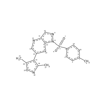 Cc1ccc(S(=O)(=O)n2ncc3ncc(-c4c(C)noc4C)cc32)cc1